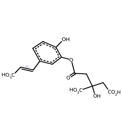 O=C(O)/C=C/c1ccc(O)c(OC(=O)CC(O)(CC(=O)O)C(=O)O)c1